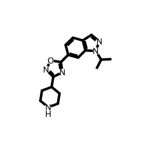 CC(C)n1ncc2ccc(-c3nc(C4CCNCC4)no3)cc21